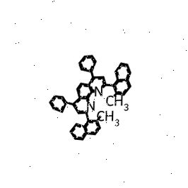 Cc1ccc2ccccc2c1-c1cc(-c2ccccc2)c2ccc3c(-c4ccccc4)cc(-c4c(C)ccc5ccccc45)nc3c2n1